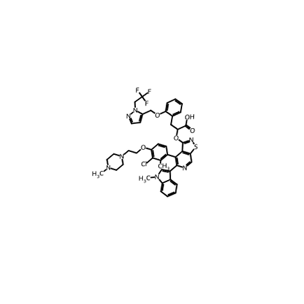 Cc1c(-c2c(-c3cn(C)c4ccccc34)ncc3snc(OC(Cc4ccccc4OCc4ccnn4CC(F)(F)F)C(=O)O)c23)ccc(OCCN2CCN(C)CC2)c1Cl